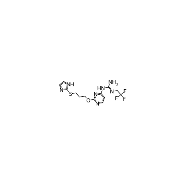 NC(=NCC(F)(F)F)Nc1ccnc(OCCCSc2ncc[nH]2)n1